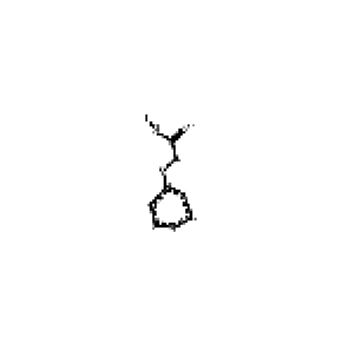 O=C(COc1ccccc1)OF